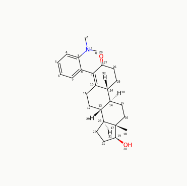 CN(C)c1ccccc1C1=C2CC[C@@H]3[C@H](CC[C@]4(C)[C@@H](O)CC[C@@H]34)[C@H]2CCC1=O